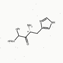 CCCCCCC(CCC)C(=O)[C@H](N)Cc1c[nH]cn1